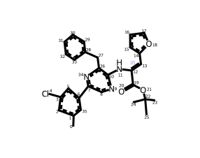 Cc1cc(Cl)cc(-c2cnc(N/C(=C\c3ccco3)C(=O)OC(C)(C)C)c(Cc3ccccc3)n2)c1